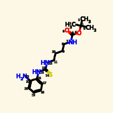 CC(C)(C)OC(=O)NCCCCNC(=S)Nc1ccccc1N